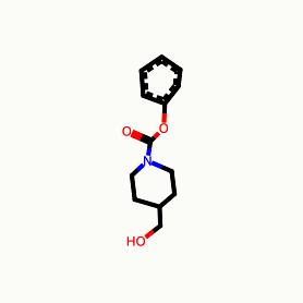 O=C(Oc1ccccc1)N1CCC(CO)CC1